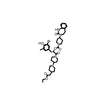 CCOC(=O)CC1CCN(C2CCN(C(=O)[C@@H](Cc3cc(C)c(O)c(Br)c3)OC(=O)N3CCC(N4CCc5ccccc5NC4=O)CC3)CC2)CC1